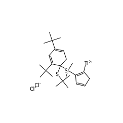 CC(C)(C)SC1([Si](C)(C)C2=[C]([Ti+2])CC=C2)CC=C(C(C)(C)C)C=C1C(C)(C)C.[Cl-].[Cl-]